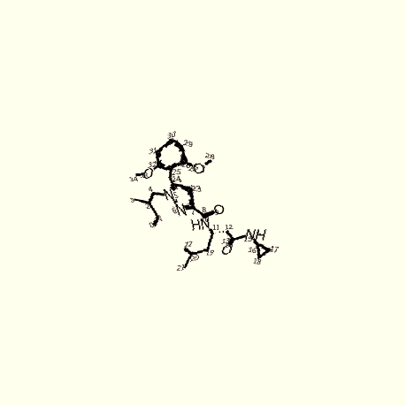 CCC(C)Cn1nc(C(=O)N[C@H](CC(=O)NC2CC2)CC(C)C)cc1-c1c(OC)cccc1OC